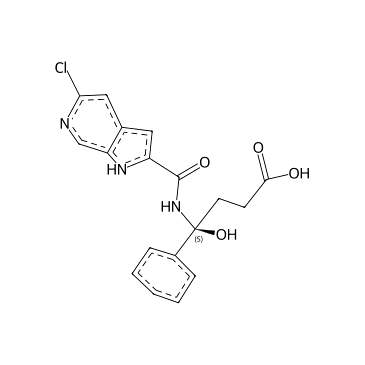 O=C(O)CC[C@@](O)(NC(=O)c1cc2cc(Cl)ncc2[nH]1)c1ccccc1